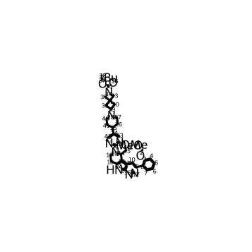 COCOc1ccccc1-c1cc2c3c([nH]c2nn1)CCN(c1ncc(C2CCN(C4CC5(C4)CN(C(=O)OC(C)(C)C)C5)CC2)cn1)C3COC